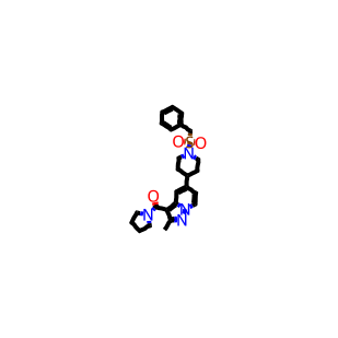 Cc1nn2ccc(C3CCN(S(=O)(=O)Cc4ccccc4)CC3)cc2c1C(=O)N1CCCC1